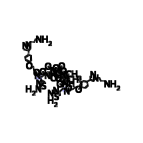 CC1(C)[C@H](NC(=O)/C(=N\OCCOc2ccc(-c3cnn(CCCN)c3)cc2)c2csc(N)n2)C(=O)N1OS(=O)(=O)ON1C(=O)[C@@H](NC(=O)/C(=N\OCCOc2ccc(-c3cnn(CCCN)c3)cc2)c2csc(N)n2)C1(C)C